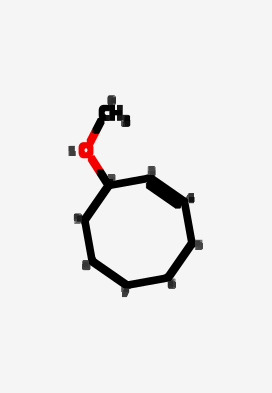 COC1C=CCCCCC1